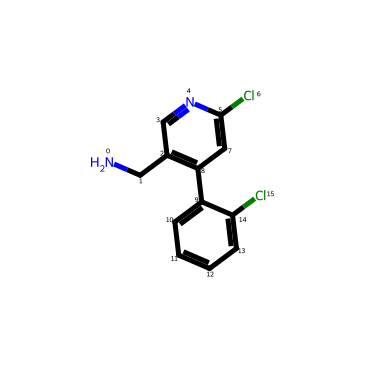 NCc1cnc(Cl)cc1-c1ccccc1Cl